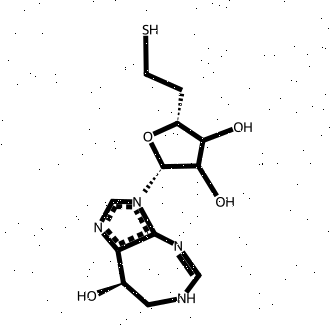 OC1C(O)[C@@H](CCS)O[C@H]1n1cnc2c1N=CNC[C@H]2O